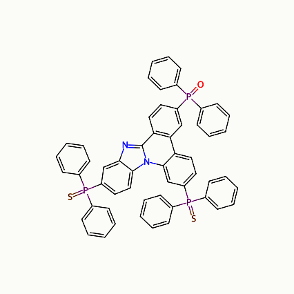 O=P(c1ccccc1)(c1ccccc1)c1ccc2c(c1)c1ccc(P(=S)(c3ccccc3)c3ccccc3)cc1n1c3ccc(P(=S)(c4ccccc4)c4ccccc4)cc3nc21